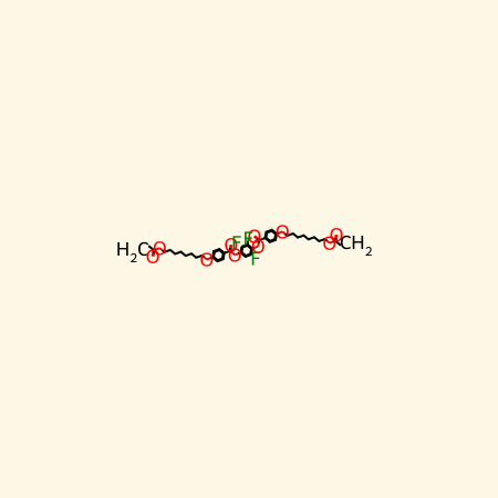 C=CC(=O)OCCCCCCCCOc1ccc(C(=O)Oc2cc(F)c(OC(=O)c3ccc(OCCCCCCCCOC(=O)C=C)cc3)c(F)c2F)cc1